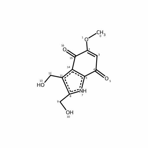 COC1=CC(=O)c2[nH]c(CO)c(CO)c2C1=O